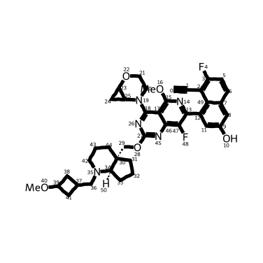 C#Cc1c(F)ccc2cc(O)cc(-c3nc(OC)c4c(N5CCOC6CC65)nc(OC[C@]56CCC[C@H]5N(CC5CC(OC)C5)CCC6)nc4c3F)c12